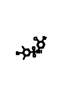 Cc1cc(S(=O)(=O)Nc2ccc(Br)c(Cl)c2)cc(C)c1Br